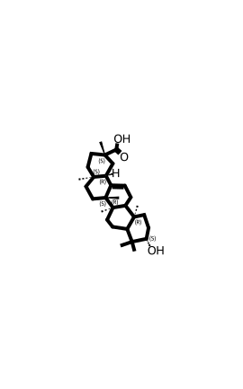 CC1(C)C2CC[C@]3(C)C(CC=C4[C@@H]5C[C@@](C)(C(=O)O)CC[C@]5(C)CC[C@]43C)[C@@]2(C)CC[C@@H]1O